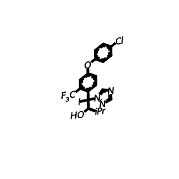 CC(C)C(O)C(I)(c1ccc(Oc2ccc(Cl)cc2)cc1C(F)(F)F)n1cncn1